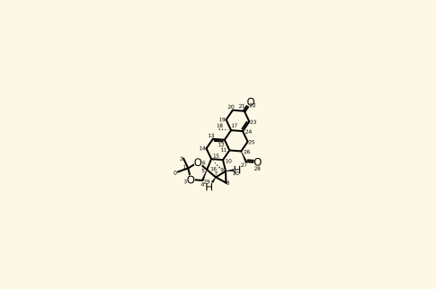 CC1(C)OC[C@]2(O1)[C@H]1C[C@H]1C1C3C(=CC[C@@]12C)[C@@]1(C)CCC(=O)C=C1C[C@H]3C=O